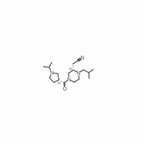 CC(C)CN1CCN(C(=O)[C@@H]2CCN(C(C)C)C2)C[C@@H]1CC#N